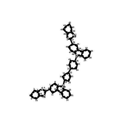 c1ccc2sc(-c3ccc4c(c3)c3ccccc3n4-c3ccc(-c4ccc(-n5c6ccccc6c6cc(-c7nc8ccccc8s7)ccc65)cc4)cc3)nc2c1